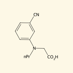 CCCN(CC(=O)O)c1cccc(C#N)c1